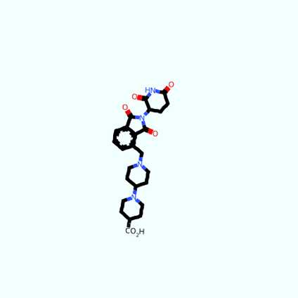 O=C1CCC(N2C(=O)c3cccc(CN4CCC(N5CCC(C(=O)O)CC5)CC4)c3C2=O)C(=O)N1